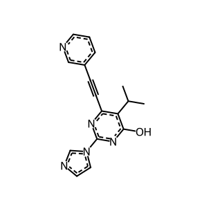 CC(C)c1c(O)nc(-n2ccnc2)nc1C#Cc1cccnc1